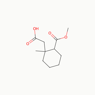 COC(=O)C1CCCCC1(C)CC(=O)O